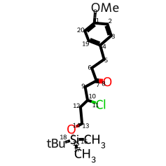 COc1ccc(CCC(=O)CC(Cl)CCO[Si](C)(C)C(C)(C)C)cc1